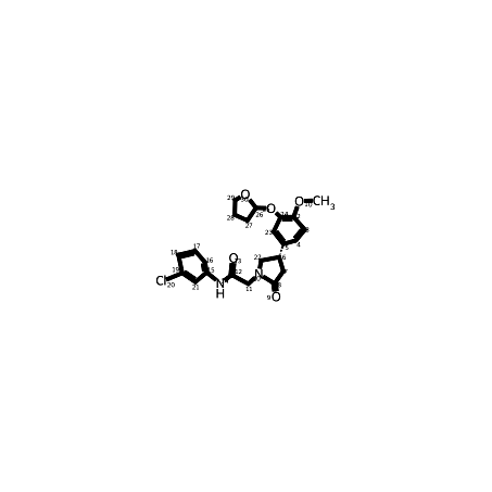 COc1ccc([C@@H]2CC(=O)N(CC(=O)Nc3cccc(Cl)c3)C2)cc1OC1CCCO1